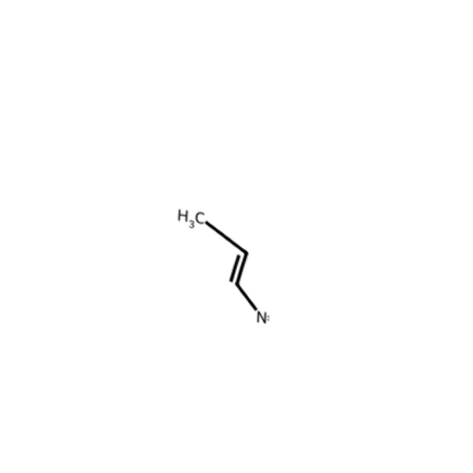 CC=C[N]